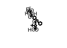 CC(C)(C)C1C(C(=O)N(Cc2ccc(C(=O)NNC(=O)C(F)(F)F)cc2)c2ccccc2)CN1C(=O)O